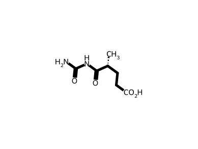 C[C@H](CCC(=O)O)C(=O)NC(N)=O